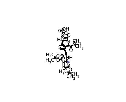 CN(C)C(=O)[C@@H]1c2c(CCN/C(=N/C(=O)OC(C)(C)C)NC(=O)OC(C)(C)C)csc2[C@@H]2CN1C(=O)N2OS(=O)(=O)O